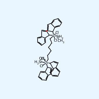 C[SiH2][Zr]([Cl])([Cl])([CH2]CCCC[CH2][Zr]([Cl])([Cl])([SiH2]C)([CH]1C=Cc2ccccc21)[CH]1C=Cc2ccccc21)([CH]1C=Cc2ccccc21)[CH]1C=Cc2ccccc21